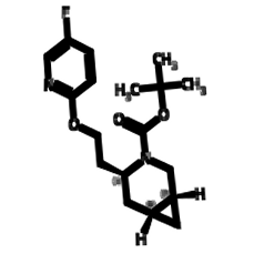 CC(C)(C)OC(=O)N1C[C@@H]2C[C@@H]2C[C@H]1CCOc1ccc(F)cn1